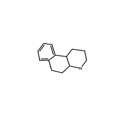 c1ccc2c(c1)CCC1[N]CCCC21